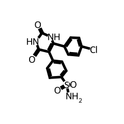 NS(=O)(=O)c1ccc(-c2c(-c3ccc(Cl)cc3)[nH]c(=O)[nH]c2=O)cc1